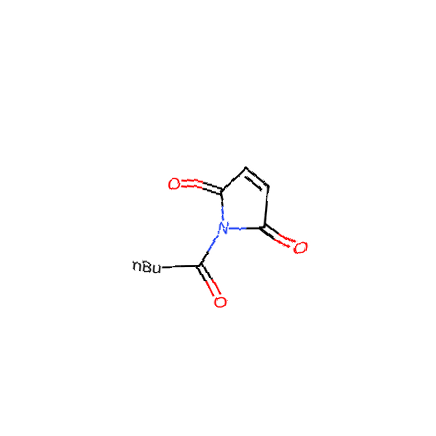 CCCCC(=O)N1C(=O)C=CC1=O